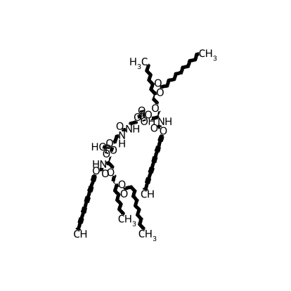 C#CC#CC#CC#CC#CC#COC(=O)N[C@H](COCC[C@@H](CCCCCCC)OC(=O)CCCCCCCCCCC)COP(=O)(O)OCCNC(=O)NCCOP(=O)(O)OC[C@@H](COCC[C@@H](CCCCCCC)OC(=O)CCCCCCCCCCC)NC(=O)OC#CC#CC#CC#CC#CC#C